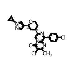 Cc1nc2c(-c3ccc(Cl)cc3)nc([C@@H]3CCO[C@H](c4cnn(C5CC5)c4)C3)cn2c(=O)c1Cl